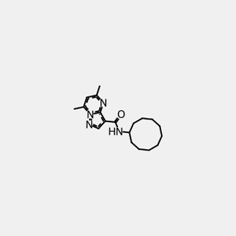 Cc1cc(C)n2ncc(C(=O)NC3CCCCCCCCC3)c2n1